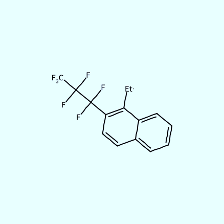 C[CH]c1c(C(F)(F)C(F)(F)C(F)(F)F)ccc2ccccc12